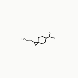 O=C(O)N1CCC2(CC1)CC2CCO